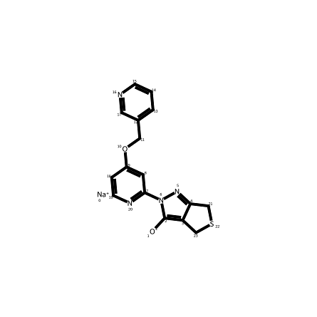 [Na+].[O-]c1c2c(nn1-c1cc(OCc3cccnc3)ccn1)CSC2